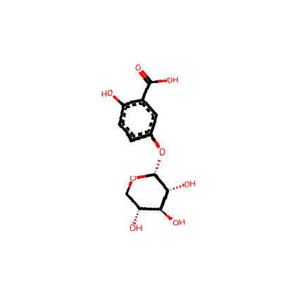 O=C(O)c1cc(O[C@H]2OC[C@@H](O)[C@H](O)[C@H]2O)ccc1O